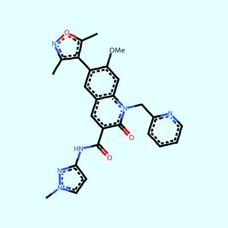 COc1cc2c(cc1-c1c(C)noc1C)cc(C(=O)Nc1ccn(C)n1)c(=O)n2Cc1ccccn1